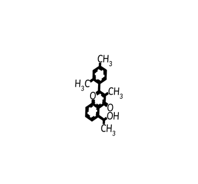 Cc1ccc(-c2oc3cccc(C(C)O)c3c(=O)c2C)c(C)c1